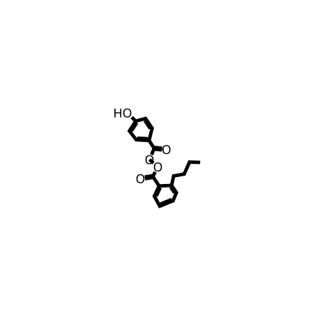 CCCCc1ccccc1C(=O)OOC(=O)c1ccc(O)cc1